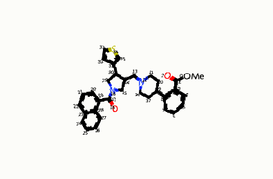 COC(=O)c1ccccc1C1CCN(CC2CN(C(=O)c3cccc4ccccc34)CC2c2ccsc2)CC1